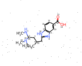 CN[C@@H](C[C@H](C)Cc1nc2cc(C(=O)O)ccc2[nH]1)N(C)C